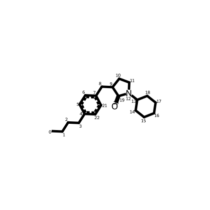 CCCCc1ccc(CC2CCN(C3CCCCC3)C2=O)cc1